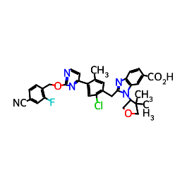 Cc1cc(Cc2nc3ccc(C(=O)O)cc3n2C2COCC2(C)C)c(Cl)cc1-c1ccnc(OCc2ccc(C#N)cc2F)n1